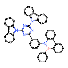 c1ccc(B2c3ccccc3-c3ccccc3N2c2cccc(-c3nc(-n4c5ccccc5c5ccccc54)nc(-n4c5ccccc5c5ccccc54)n3)c2)cc1